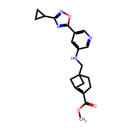 COC(=O)C1=C2CC(CNc3cncc(-c4nc(C5CC5)no4)c3)(CC1)C2